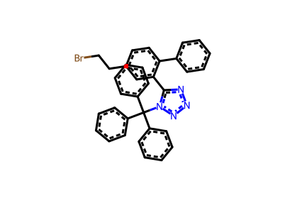 BrCCc1ccc(-c2ccccc2)c(-c2nnnn2C(c2ccccc2)(c2ccccc2)c2ccccc2)c1